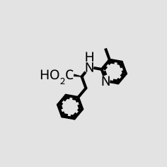 Cc1cccnc1N[C@@H](Cc1ccccc1)C(=O)O